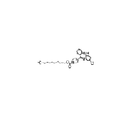 CCCCCCCCCCCCOC(=O)N1CCN(C2=Nc3cc(Cl)ccc3Nc3ccccc32)CC1